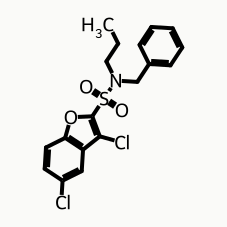 CCCN(Cc1ccccc1)S(=O)(=O)c1oc2ccc(Cl)cc2c1Cl